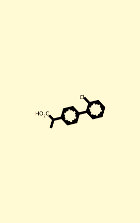 CC(C(=O)O)c1ccc(-c2ccccc2Cl)cc1